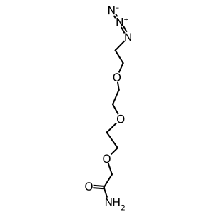 [N-]=[N+]=NCCOCCOCCOCC(N)=O